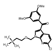 COc1cc(OC)cc(C(=O)c2cn(COCC[Si](C)(C)C)c3nc(Cl)ccc23)c1